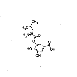 CC(C)C[C@H](N)C(=O)Oc1cc(C(=O)O)cc(O)c1O